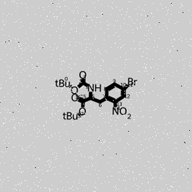 CC(C)(C)OC(=O)NC(Cc1ccc(Br)cc1[N+](=O)[O-])C(=O)OC(C)(C)C